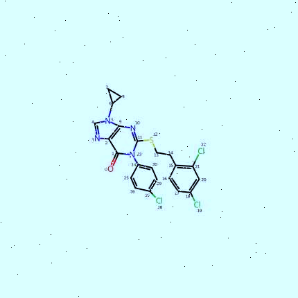 O=c1c2ncn(C3CC3)c2nc(SCCc2ccc(Cl)cc2Cl)n1-c1ccc(Cl)cc1